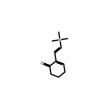 C[Si](C)(C)/C=C/C1=CCCCC1=O